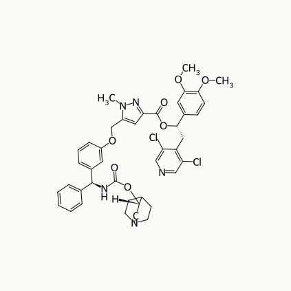 COc1ccc([C@H](Cc2c(Cl)cncc2Cl)OC(=O)c2cc(COc3cccc([C@@H](NC(=O)O[C@H]4CN5CCC4CC5)c4ccccc4)c3)n(C)n2)cc1OC